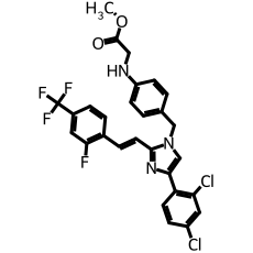 COC(=O)CNc1ccc(Cn2cc(-c3ccc(Cl)cc3Cl)nc2C=Cc2ccc(C(F)(F)F)cc2F)cc1